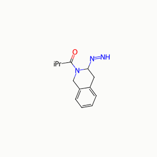 CC(C)C(=O)N1Cc2ccccc2CC1N=N